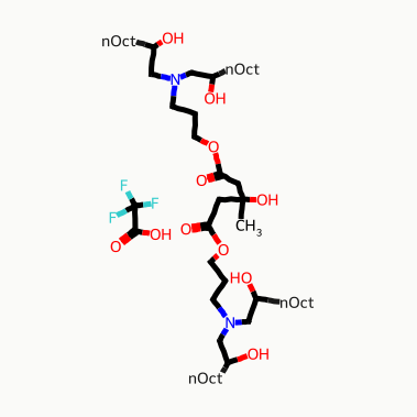 CCCCCCCCC(O)CN(CCCOC(=O)CC(C)(O)CC(=O)OCCCN(CC(O)CCCCCCCC)CC(O)CCCCCCCC)CC(O)CCCCCCCC.O=C(O)C(F)(F)F